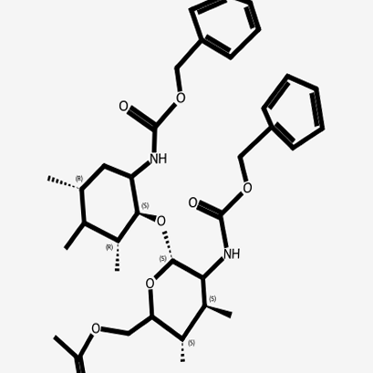 CC(=O)OCC1O[C@H](O[C@@H]2C(NC(=O)OCc3ccccc3)C[C@@H](C)C(C)[C@H]2C)C(NC(=O)OCc2ccccc2)[C@@H](C)[C@@H]1C